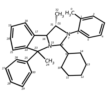 Cc1ccccc1N1C(C2CCCCC2)N2C(c3ccccc3C2(C)c2ccccc2)[C@@H]1C